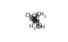 CC12CCC(CN(CC(=O)c3c(Cl)cc(Cl)cc3Cl)C(=O)c3cnn(C4CCC(C)(C(=O)O)CC4)c3C(F)(F)F)(CC1)O2